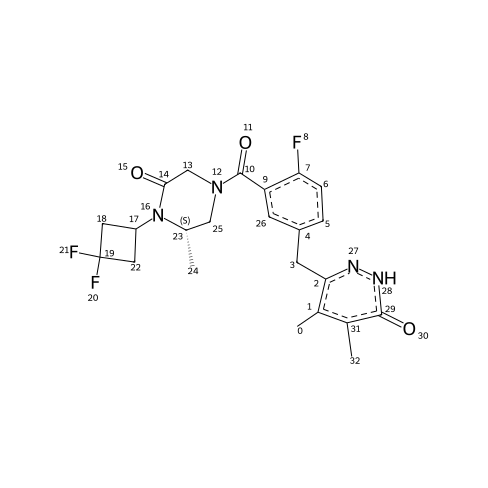 Cc1c(Cc2ccc(F)c(C(=O)N3CC(=O)N(C4CC(F)(F)C4)[C@@H](C)C3)c2)n[nH]c(=O)c1C